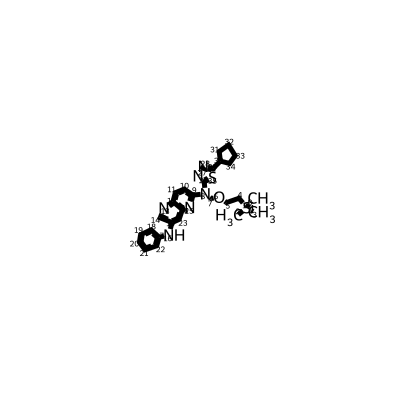 C[Si](C)(C)CCOCN(c1ccc2ncc(Nc3ccccc3)cc2n1)c1nnc(C2CCCC2)s1